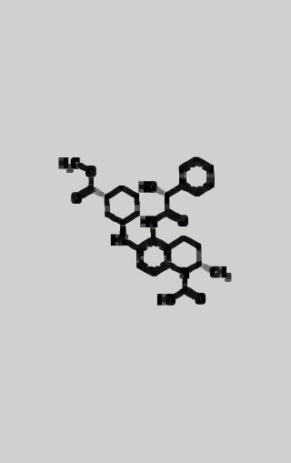 COC(=O)[C@@H]1CCC[C@@H](Nc2ccc3c(c2NC(=O)[C@H](O)c2ccccc2)CC[C@H](C)N3C(=O)O)C1